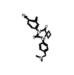 Cc1cc(N2C(=O)C3(CCC3)N(c3ccc(CN(C)C)cc3)C2=S)ccc1C#N